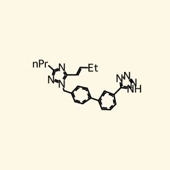 CCC=Cc1nc(CCC)nn1Cc1ccc(-c2cccc(-c3nnn[nH]3)c2)cc1